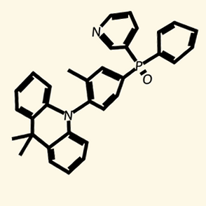 Cc1cc(P(=O)(c2ccccc2)c2cccnc2)ccc1N1c2ccccc2C(C)(C)c2ccccc21